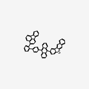 c1ccc(-c2ccc3c4c(cccc24)-c2ccccc2-3)c(-c2ccc(-c3c4ccccc4c(-c4ccc5sc6cc7ccccc7cc6c5c4)c4ccccc34)cc2)c1